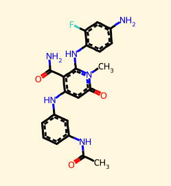 CC(=O)Nc1cccc(Nc2cc(=O)n(C)c(Nc3ccc(N)cc3F)c2C(N)=O)c1